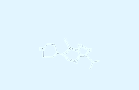 CC(C)c1n[nH]c2c(=O)n(C3CCNCC3)cnc12